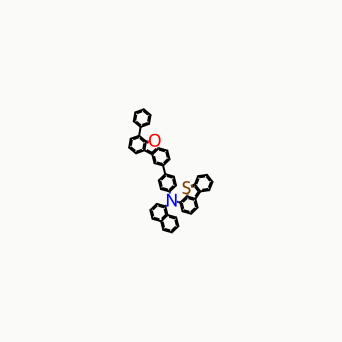 c1ccc(-c2cccc3c2oc2ccc(-c4ccc(N(c5cccc6ccccc56)c5cccc6c5sc5ccccc56)cc4)cc23)cc1